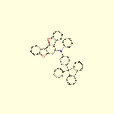 c1ccc(N(c2ccc(C3(c4ccccc4)c4ccccc4-c4ccccc43)cc2)c2cc3oc4ccccc4c3c3oc4ccccc4c23)cc1